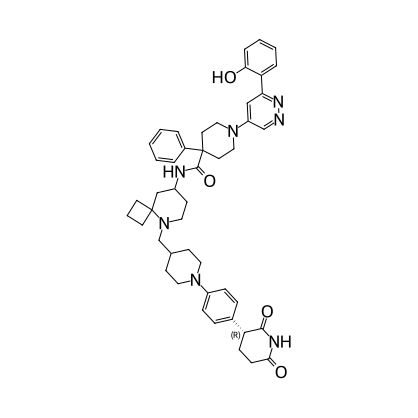 O=C1CC[C@H](c2ccc(N3CCC(CN4CCC(NC(=O)C5(c6ccccc6)CCN(c6cnnc(-c7ccccc7O)c6)CC5)CC45CCC5)CC3)cc2)C(=O)N1